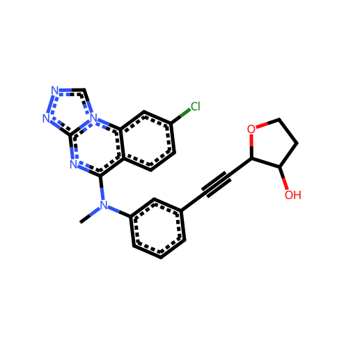 CN(c1cccc(C#CC2OCCC2O)c1)c1nc2nncn2c2cc(Cl)ccc12